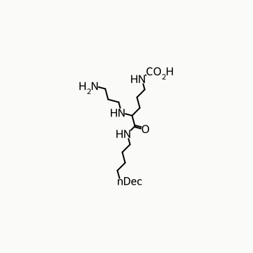 CCCCCCCCCCCCCCNC(=O)C(CCCNC(=O)O)NCCCN